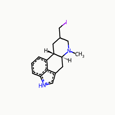 CN1CC(CI)C[C@H]2c3cccc4[nH]cc(c34)C[C@@H]21